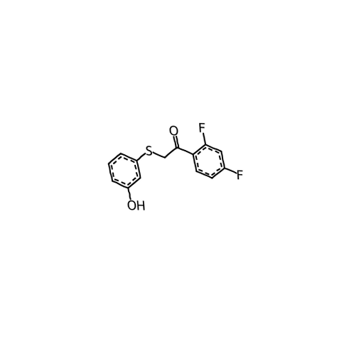 O=C(CSc1cccc(O)c1)c1ccc(F)cc1F